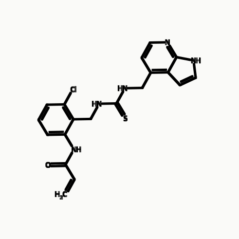 C=CC(=O)Nc1cccc(Cl)c1CNC(=S)NCc1ccnc2[nH]ccc12